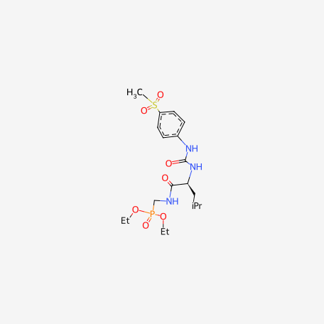 CCOP(=O)(CNC(=O)[C@H](CC(C)C)NC(=O)Nc1ccc(S(C)(=O)=O)cc1)OCC